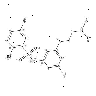 CC(C)N(CCSc1cc(Cl)cc(NS(=O)(=O)c2cc(Br)ccc2O)c1)C(C)C